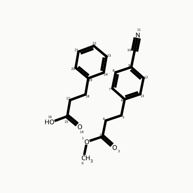 COC(=O)CCc1ccc(C#N)cc1.O=C(O)CCc1ccccc1